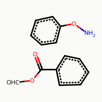 NOc1ccccc1.O=COC(=O)c1ccccc1